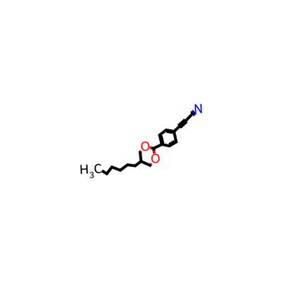 CCCCCCC1COC(c2ccc(C#CC#N)cc2)OC1